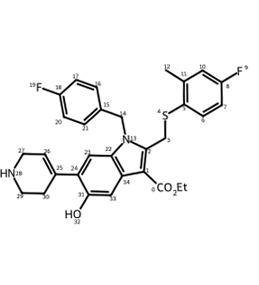 CCOC(=O)c1c(CSc2ccc(F)cc2C)n(Cc2ccc(F)cc2)c2cc(C3=CCNCC3)c(O)cc12